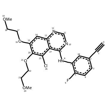 C#Cc1ccc(F)c(Nc2ncnc3cc(OCCOC)c(OCCOC)c(Cl)c23)c1